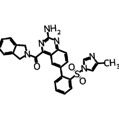 Cc1cn(S(=O)(=O)c2ccccc2-c2ccc3nc(N)nc(C(=O)N4Cc5ccccc5C4)c3c2)cn1